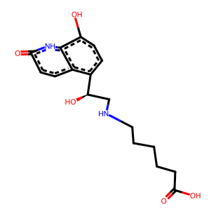 O=C(O)CCCCCNC[C@@H](O)c1ccc(O)c2[nH]c(=O)ccc12